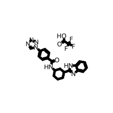 O=C(NC1CCCC(c2nc3ccccc3[nH]2)C1)c1ccc(-n2cnnn2)cc1.O=C(O)C(F)(F)F